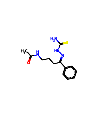 CC(=O)NCCC/C(=N\NC(N)=S)c1ccccc1